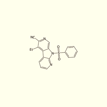 CCc1c(C#N)ncc2c1c1cccnc1n2S(=O)(=O)c1ccccc1